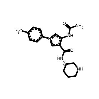 NC(=O)Nc1cn(-c2ccc(C(F)(F)F)cc2)cc1C(=O)N[C@H]1CCCNC1